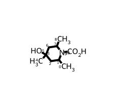 CC1CC(C)(O)CC(C)N1C(=O)O